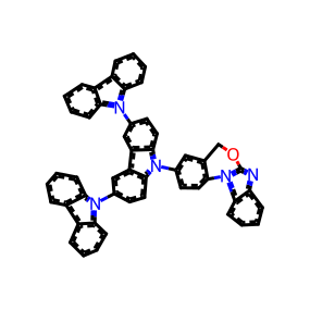 c1ccc2c(c1)nc1n2-c2ccc(-n3c4ccc(-n5c6ccccc6c6ccccc65)cc4c4cc(-n5c6ccccc6c6ccccc65)ccc43)cc2CO1